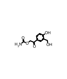 NC(=O)OCC(=O)c1ccc(O)c(CO)c1